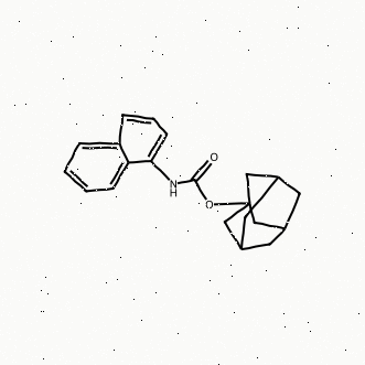 O=C(Nc1cccc2ccccc12)OC12CC3CC(CC(C3)C1)C2